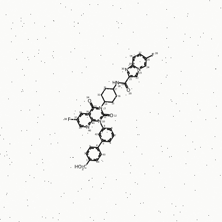 O=C(O)c1ccc(-c2cccc(-n3c(=O)n(C4CCC(NC(=O)c5cn6cc(F)ccc6n5)CC4)c(=O)c4cc(F)cnc43)c2)cc1